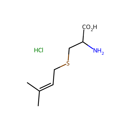 CC(C)=CCSCC(N)C(=O)O.Cl